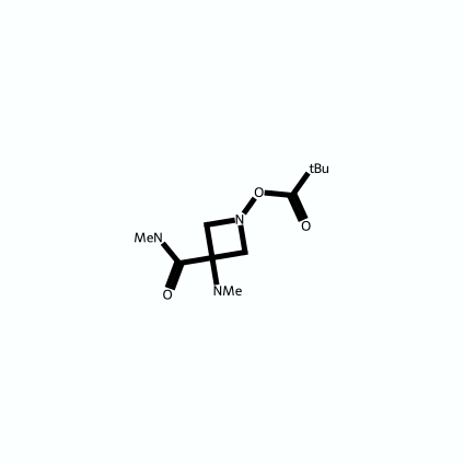 CNC(=O)C1(NC)CN(OC(=O)C(C)(C)C)C1